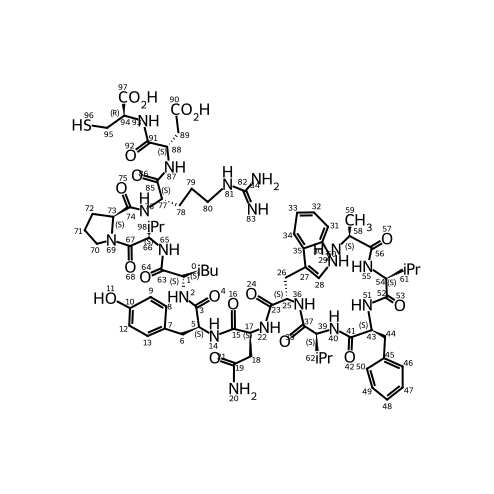 CC[C@H](C)[C@H](NC(=O)[C@H](Cc1ccc(O)cc1)NC(=O)[C@H](CC(N)=O)NC(=O)[C@H](Cc1c[nH]c2ccccc12)NC(=O)[C@@H](NC(=O)[C@H](Cc1ccccc1)NC(=O)[C@@H](NC(=O)[C@H](C)N)C(C)C)C(C)C)C(=O)N[C@H](C(=O)N1CCC[C@H]1C(=O)N[C@@H](CCCNC(=N)N)C(=O)N[C@@H](CC(=O)O)C(=O)N[C@@H](CS)C(=O)O)C(C)C